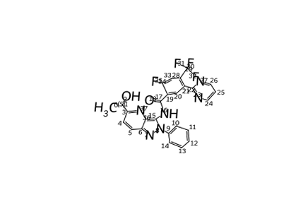 C[C@H](O)c1ccc2nn(-c3ccccc3)c(NC(=O)c3cc(-c4ncccn4)c(C(F)(F)F)cc3F)c2n1